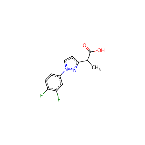 CC(C(=O)O)c1ccn(-c2ccc(F)c(F)c2)n1